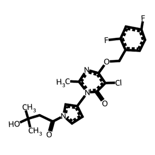 Cc1nc(OCc2ccc(F)cc2F)c(Cl)c(=O)n1-c1ccn(C(=O)CC(C)(C)O)c1